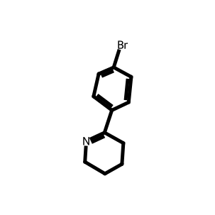 Brc1ccc(C2=NCCCC2)cc1